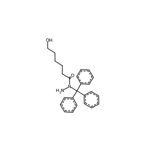 NN(C(=O)CCCCCO)C(c1ccccc1)(c1ccccc1)c1ccccc1